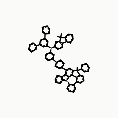 CC1(C)c2ccccc2-c2ccc(N(c3cccc(-c4ccc(-c5cc6c7c8c5c5ccccc5n8-c5ccccc5-c5cccc(c5-7)C6(C)c5ccccc5)cc4)c3)c3cc(-c4ccccc4)cc(-c4ccccc4)c3)cc21